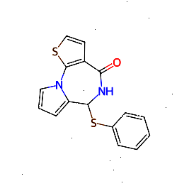 O=C1NC(Sc2ccccc2)c2cccn2-c2sccc21